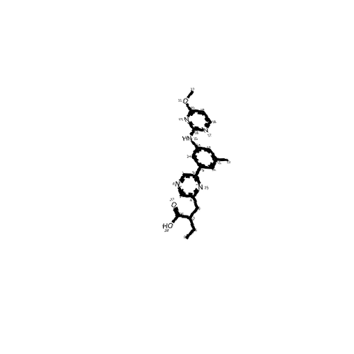 CCC(Cc1cncc(-c2cc(C)cc(Nc3nccc(OC)n3)c2)n1)C(=O)O